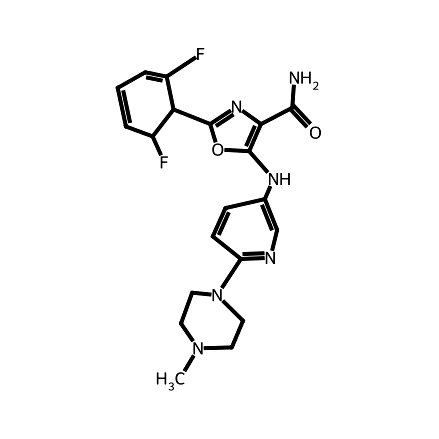 CN1CCN(c2ccc(Nc3oc(C4C(F)=CC=CC4F)nc3C(N)=O)cn2)CC1